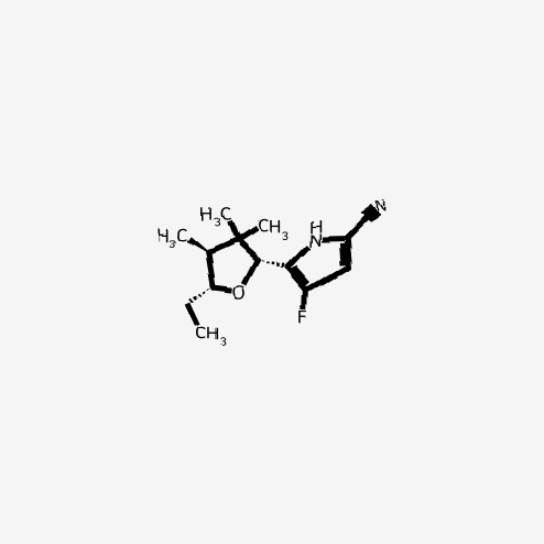 CC[C@H]1O[C@@H](c2[nH]c(C#N)cc2F)C(C)(C)[C@@H]1C